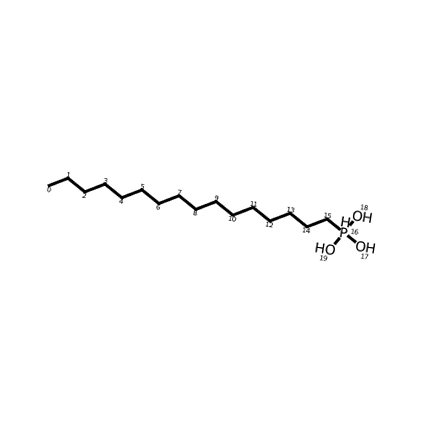 CCCCCCCCCCCCCCCC[PH](O)(O)O